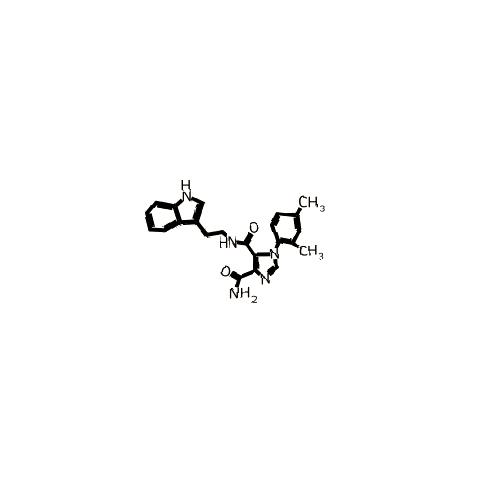 Cc1ccc(-n2cnc(C(N)=O)c2C(=O)NCCc2c[nH]c3ccccc23)c(C)c1